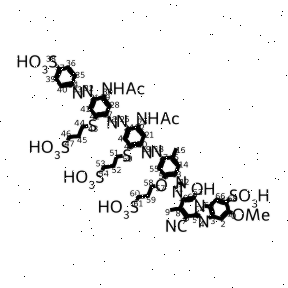 COc1cc2nc3c(C#N)c(C)c(N=Nc4cc(C)c(N=Nc5cc(NC(C)=O)c(N=Nc6cc(NC(C)=O)c(N=Nc7ccc(S(=O)(=O)O)cc7)cc6SCCCS(=O)(=O)O)cc5SCCCS(=O)(=O)O)cc4OCCCS(=O)(=O)O)c(O)n3c2cc1S(=O)(=O)O